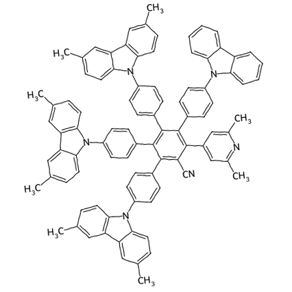 Cc1ccc2c(c1)c1cc(C)ccc1n2-c1ccc(-c2c(C#N)c(-c3cc(C)nc(C)c3)c(-c3ccc(-n4c5ccccc5c5ccccc54)cc3)c(-c3ccc(-n4c5ccc(C)cc5c5cc(C)ccc54)cc3)c2-c2ccc(-n3c4ccc(C)cc4c4cc(C)ccc43)cc2)cc1